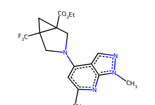 CCOC(=O)C12CN(c3cc(C)nc4c3cnn4C)CC1(C(F)(F)F)C2